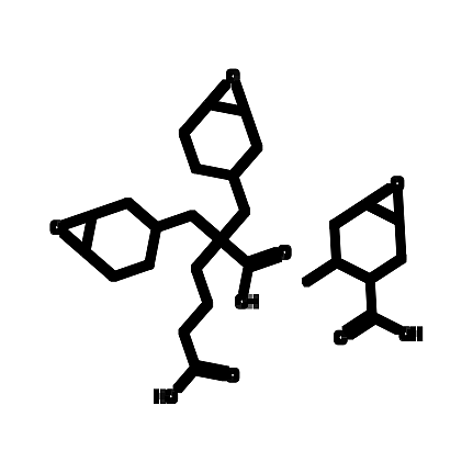 CC1CC2OC2CC1C(=O)O.O=C(O)CCCC(CC1CCC2OC2C1)(CC1CCC2OC2C1)C(=O)O